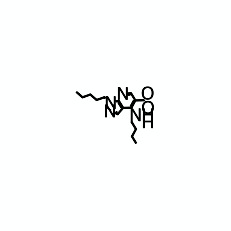 CCCCCn1ncc2c(NCCCC)c(C(=O)O)cnc21